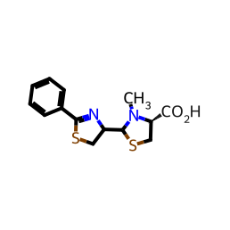 CN1C(C2CSC(c3ccccc3)=N2)SC[C@@H]1C(=O)O